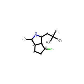 CC1NC(CC(C)(C)C)C2C(Cl)CCC12